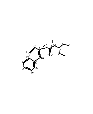 CCC(CC)NC(=O)Sc1ccc2ccccc2c1